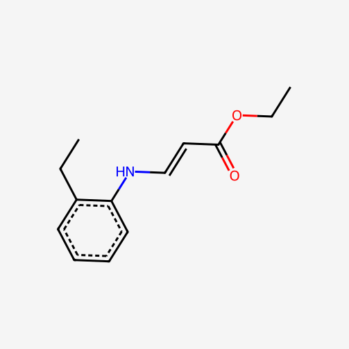 CCOC(=O)C=CNc1ccccc1CC